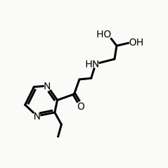 CCc1nccnc1C(=O)CCNCC(O)O